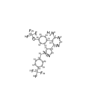 Nc1ncnc(-c2cnn(Cc3ccc(C(F)(F)F)cc3)c2)c1-c1ccc(OC(F)(F)F)cc1